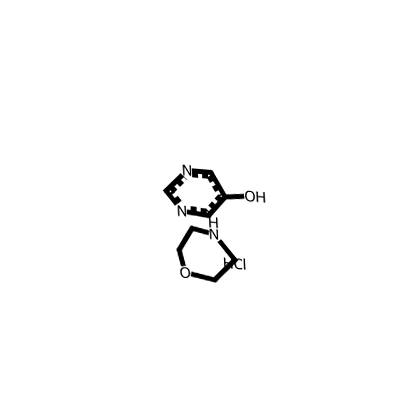 C1COCCN1.Cl.Oc1cncnc1